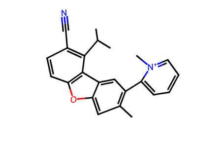 Cc1cc2oc3ccc(C#N)c(C(C)C)c3c2cc1-c1cccc[n+]1C